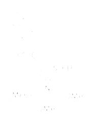 COCC[N+](CCOC)(CCOC)OCC(COC(=O)C1CC2CC1C1C3CCC(C3)C21)CS(=O)(=O)O